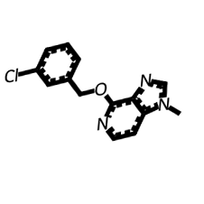 Cn1cnc2c(OCc3cccc(Cl)c3)nccc21